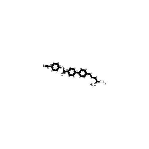 CC(C)CCCc1ccc(-c2ccc(C(=O)Oc3ccc(C#N)cc3)cc2)cc1